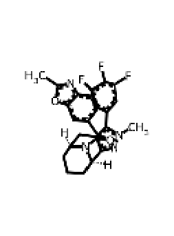 Cc1nc2ccc(C(=O)N3[C@H]4CCC[C@@H]3c3nn(C)c(-c5cc(F)c(F)c(F)c5)c3C4)cc2o1